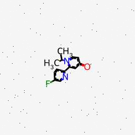 CC(C)n1ccc(=O)cc1-c1ccc(F)cn1